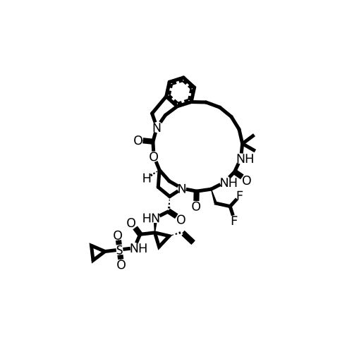 C=C[C@@H]1C[C@]1(NC(=O)[C@@H]1C[C@@H]2CN1C(=O)[C@H](CC(F)F)NC(=O)NC(C)(C)CCCCc1cccc3c1CN(C3)C(=O)O2)C(=O)NS(=O)(=O)C1CC1